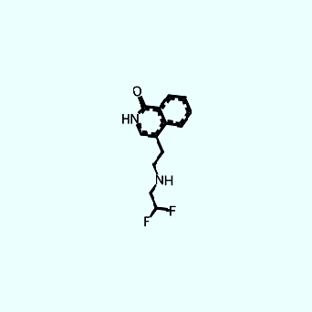 O=c1[nH]cc(CCNCC(F)F)c2ccccc12